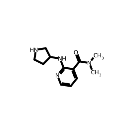 CN(C)C(=O)c1cccnc1NC1CCNC1